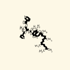 Cc1c(C)c2c(c(C)c1OC(=O)OCC(OC(=O)c1cccnc1)C(C)OC(=O)c1cccnc1)CCC(C)(CCCC(C)CCCC(C)CCCC(C)C)O2